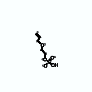 C=CCOCCOS(=O)(=O)O